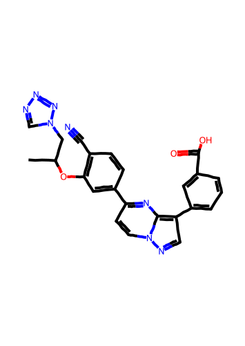 CC(Cn1cnnn1)Oc1cc(-c2ccn3ncc(-c4cccc(C(=O)O)c4)c3n2)ccc1C#N